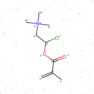 C=C(C)C(=O)OC(Cl)C[N+](C)(C)C